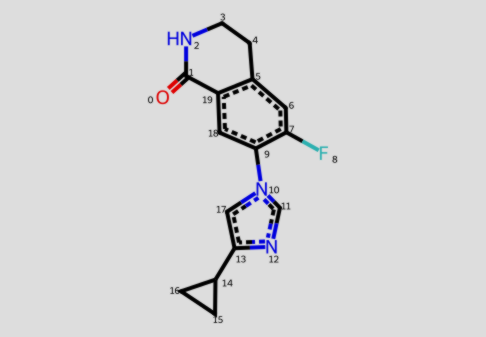 O=C1NCCc2cc(F)c(-n3cnc(C4CC4)c3)cc21